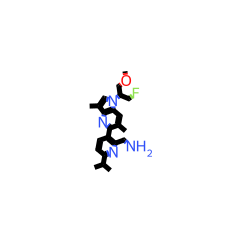 COCC(CF)n1cc(C)c2nc(-c3ccc(C(C)C)nc3CN)c(C)cc21